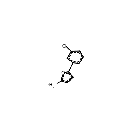 [CH2]c1ccc(-c2cccc(Cl)c2)o1